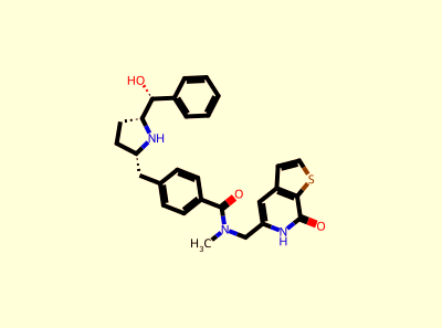 CN(Cc1cc2ccsc2c(=O)[nH]1)C(=O)c1ccc(C[C@@H]2CC[C@H]([C@H](O)c3ccccc3)N2)cc1